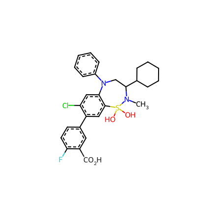 CN1C(C2CCCCC2)CN(c2ccccc2)c2cc(Cl)c(-c3ccc(F)c(C(=O)O)c3)cc2S1(O)O